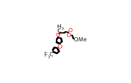 COCCOC(=O)C=CC(C)Oc1ccc(Oc2ccc(C(F)(F)F)cc2)cc1